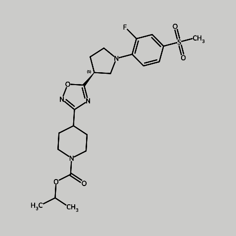 CC(C)OC(=O)N1CCC(c2noc([C@H]3CCN(c4ccc(S(C)(=O)=O)cc4F)C3)n2)CC1